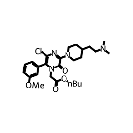 CCCCOC(=O)Cn1c(-c2cccc(OC)c2)c(Cl)nc(N2CCC(CCN(C)C)CC2)c1=O